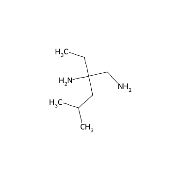 CCC(N)(CN)CC(C)C